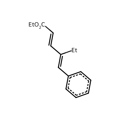 CCOC(=O)/C=C/C(=C/c1ccccc1)CC